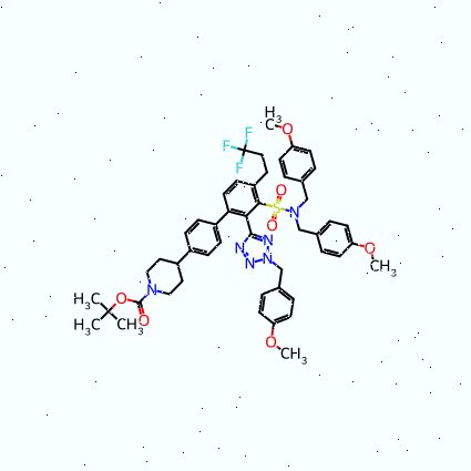 COc1ccc(CN(Cc2ccc(OC)cc2)S(=O)(=O)c2c(CCC(F)(F)F)ccc(-c3ccc(C4CCN(C(=O)OC(C)(C)C)CC4)cc3)c2-c2nnn(Cc3ccc(OC)cc3)n2)cc1